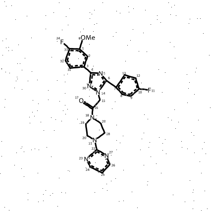 COc1cc(-c2nc(-c3ccc(F)cc3)n(CC(=O)N3CCN(c4ncccn4)CC3)n2)ccc1F